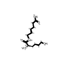 C[C@H](CCCCO)C(=O)OCCCCCC(=O)O